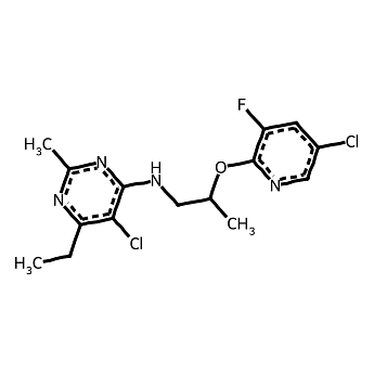 CCc1nc(C)nc(NCC(C)Oc2ncc(Cl)cc2F)c1Cl